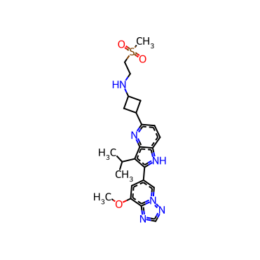 COc1cc(-c2[nH]c3ccc(C4CC(NCCS(C)(=O)=O)C4)nc3c2C(C)C)cn2ncnc12